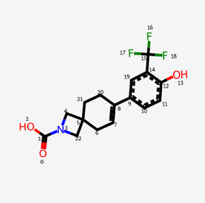 O=C(O)N1CC2(CC=C(c3ccc(O)c(C(F)(F)F)c3)CC2)C1